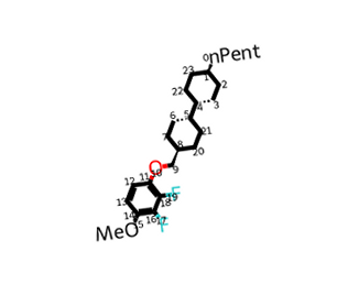 CCCCC[C@H]1CC[C@H]([C@H]2CC[C@H](COc3ccc(OC)c(F)c3F)CC2)CC1